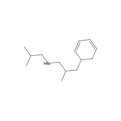 CC(C)CNCC(C)CC1C=CC=CC1